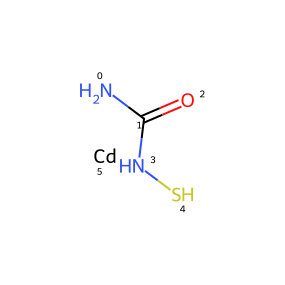 NC(=O)NS.[Cd]